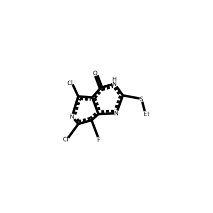 CCSc1nc2c(F)c(Cl)nc(Cl)c2c(=O)[nH]1